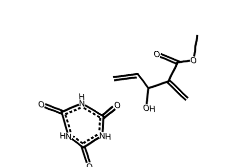 C=CC(O)C(=C)C(=O)OC.O=c1[nH]c(=O)[nH]c(=O)[nH]1